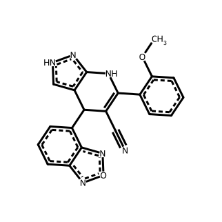 COc1ccccc1C1=C(C#N)C(c2cccc3nonc23)c2c[nH]nc2N1